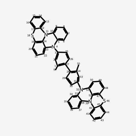 Cc1cc(N2c3ccccc3N3c4ccccc4Sc4cccc2c43)ccc1-c1ccc(N2c3ccccc3N3c4ccccc4Sc4cccc2c43)cc1C